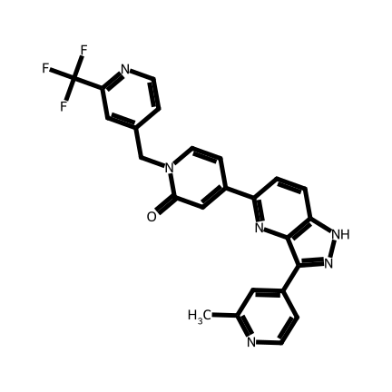 Cc1cc(-c2n[nH]c3ccc(-c4ccn(Cc5ccnc(C(F)(F)F)c5)c(=O)c4)nc23)ccn1